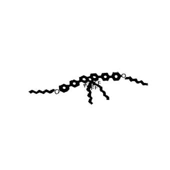 CCCCCCCCOc1ccc(-c2ccc(-c3ccc4c(c3)C(C(F)(F)C(F)(F)CCCCCC)(C(F)(F)C(F)(F)CCCCCC)c3cc(-c5ccc(-c6ccc(OCCCCCCCC)cc6)cc5)ccc3-4)cc2)cc1